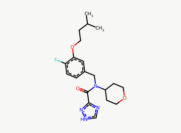 CC(C)CCOc1cc(CN(C(=O)c2nc[nH]n2)C2CCOCC2)ccc1F